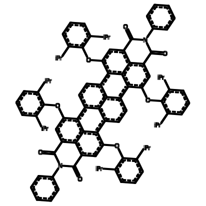 CC(C)c1cccc(C(C)C)c1Oc1cc2c3c(cc(Oc4c(C(C)C)cccc4C(C)C)c4c5ccc6c7c(Oc8c(C(C)C)cccc8C(C)C)cc8c9c(cc(Oc%10c(C(C)C)cccc%10C(C)C)c(c%10ccc(c1c34)c5c%106)c97)C(=O)N(c1ccccc1)C8=O)C(=O)N(c1ccccc1)C2=O